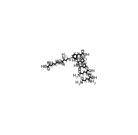 CSCC[C@H](N)C(=O)O.NC(=O)CC[C@H](N)C(=O)O.NC(=O)CC[C@H](N)C(=O)O.NCCCC[C@H](N)C(=O)O.N[C@@H](Cc1ccccc1)C(=O)O.O=C(O)[C@@H]1CCCN1.O=C(O)[C@@H]1CCCN1